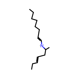 CCC=CCC(C)[N]C=CCCCCCC